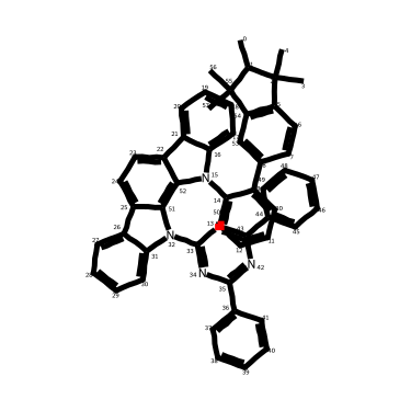 CC1C(C)(C)c2ccc(-c3ccccc3-n3c4ccccc4c4ccc5c6ccccc6n(-c6nc(-c7ccccc7)nc(-c7ccccc7)n6)c5c43)cc2C1(C)C